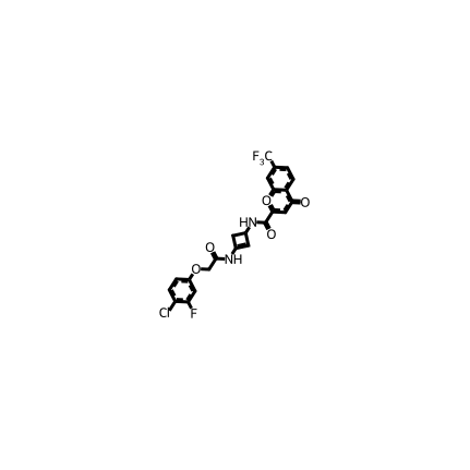 O=C(COc1ccc(Cl)c(F)c1)NC1=CC(NC(=O)c2cc(=O)c3ccc(C(F)(F)F)cc3o2)C1